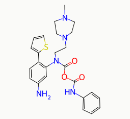 CN1CCN(CCN(C(=O)OC(=O)Nc2ccccc2)c2cc(N)ccc2-c2cccs2)CC1